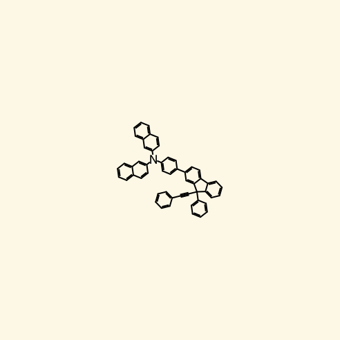 C(#CC1(c2ccccc2)c2ccccc2-c2ccc(-c3ccc(N(c4ccc5ccccc5c4)c4ccc5ccccc5c4)cc3)cc21)c1ccccc1